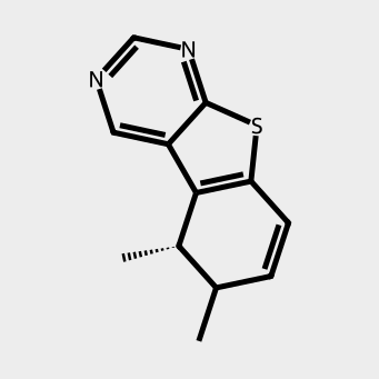 CC1C=Cc2sc3ncncc3c2[C@H]1C